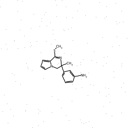 CSC1=NC(C)(c2cccc(N)c2)Cn2cccc21